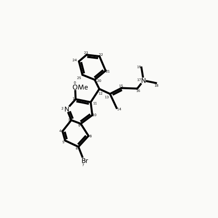 COc1nc2ccc(Br)cc2cc1C(/C(C)=C/CN(C)C)c1ccccc1